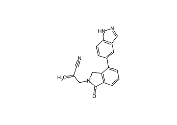 C=C(C#N)CN1Cc2c(cccc2-c2ccc3[nH]ncc3c2)C1=O